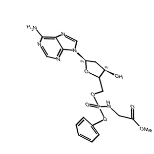 COC(=O)CNP(=O)(OCC1O[C@@H](n2cnc3c(N)ncnc32)C[C@H]1O)Oc1ccccc1